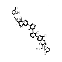 Cc1c(-c2ccn3c(=O)c(CNC[C@@H]4CCC(=O)N4)cnc3c2)cccc1-c1cccc(-c2ccc(CN(C[C@@H]3CCC(=O)N3)C(=O)OC(C)(C)C)c(Cl)n2)c1Cl